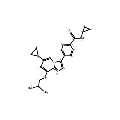 CC(C)CNc1nc(C2CC2)cn2c(-c3ccc(C(=O)NC4CC4)cc3)cnc12